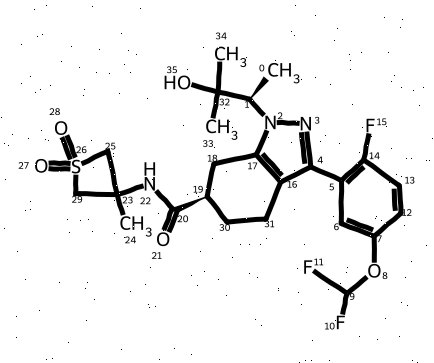 C[C@@H](n1nc(-c2cc(OC(F)F)ccc2F)c2c1C[C@H](C(=O)NC1(C)CS(=O)(=O)C1)CC2)C(C)(C)O